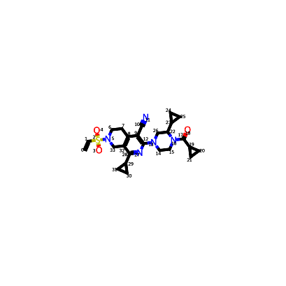 C=CS(=O)(=O)N1CCc2c(C#N)c(N3CCN(C(=O)C4CC4)C(C4CC4)C3)nc(C3CC3)c2C1